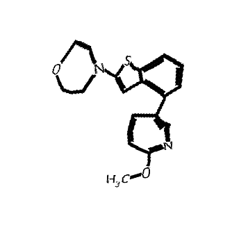 COc1ccc(-c2cccc3sc(N4CCOCC4)cc23)cn1